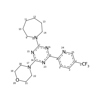 FC(F)(F)c1ccc(-c2nc(N3CCCCCC3)nc(N3CCOCC3)n2)nc1